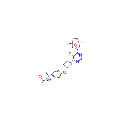 CC(=O)N[C@@H](C)c1ccc(O[C@@H]2CCN(c3ncnc(N4C[C@@H]5CC[C@@H](C4)O5)c3F)C2)cc1